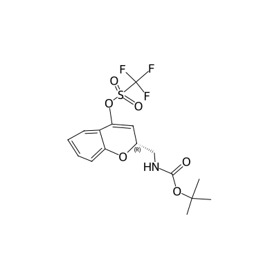 CC(C)(C)OC(=O)NC[C@H]1C=C(OS(=O)(=O)C(F)(F)F)c2ccccc2O1